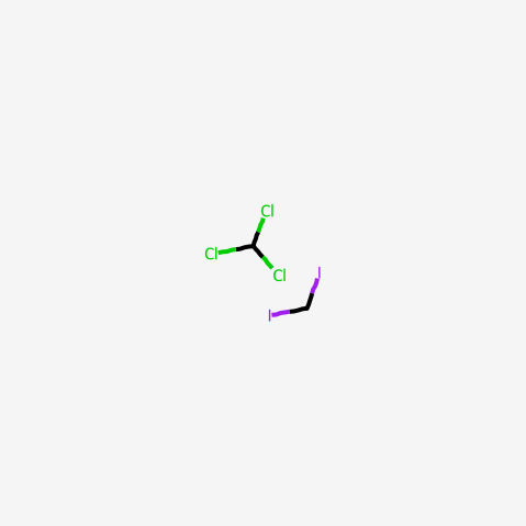 ClC(Cl)Cl.ICI